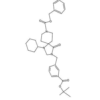 CC(C)(C)OC(=O)c1cccc(CN2CN(C3CCCCC3)C3(CCN(C(=O)OCc4ccccc4)CC3)C2=O)c1